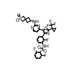 O=S1(=O)CC2(CC(Nc3nccc(-c4sc(C5(C(F)(F)F)CC5)nc4-c4cccc(NS(=O)(=O)c5c(F)cccc5F)c4F)n3)C2)C1